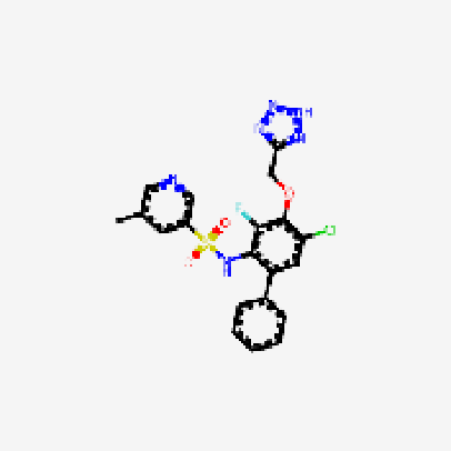 Cc1cncc(S(=O)(=O)Nc2c(-c3ccccc3)cc(Cl)c(OCc3nn[nH]n3)c2F)c1